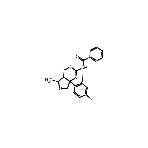 CC1OCC2(c3ccc(F)cc3F)N=C(NC(=O)c3ccccc3)SCC12